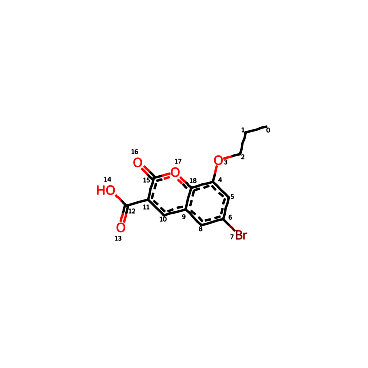 CCCOc1cc(Br)cc2cc(C(=O)O)c(=O)oc12